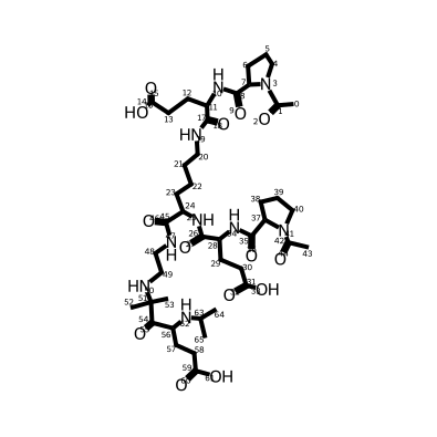 CC(=O)N1CCCC1C(=O)NC(CCC(=O)O)C(=O)NCCCCC(NC(=O)C(CCC(=O)O)NC(=O)C1CCCN1C(C)=O)C(=O)NCCNC(C)(C)C(=O)C(CCC(=O)O)NC(C)C